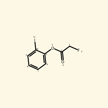 O=C(CF)Oc1ccccc1I